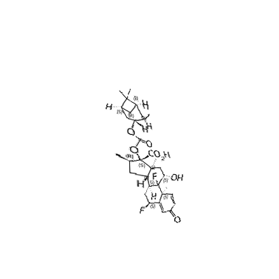 C[C@@H]1[C@H]2C[C@@H](C[C@H]1OC(=O)O[C@@]1(C(=O)O)[C@H](C)C[C@H]3[C@@H]4C[C@H](F)C5=CC(=O)C=C[C@]5(C)C4(F)[C@@H](O)C[C@@]31C)C2(C)C